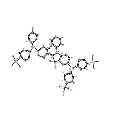 Cc1ccc(N(c2ccc([Si](C)(C)C)cc2)c2ccc3c4c(c5ccccc5c3c2)-c2ccc(N(c3ccc(C(F)(F)F)cc3)c3ccc([Si](C)(C)C)cc3)cc2C4(C)C)cc1